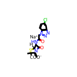 C=C1N2C(=O)C(NC(=O)Cn3nnc4cc(Cl)ccc43)[C@H]2SC1(C)C(=O)[O-].[Na+]